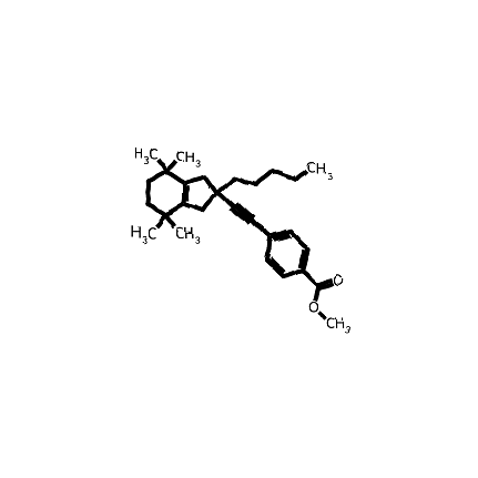 CCCCCC1(C#Cc2ccc(C(=O)OC)cc2)CC2=C(C1)C(C)(C)CCC2(C)C